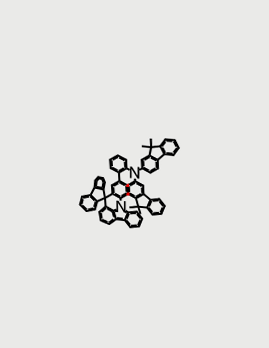 CC1(C)c2ccccc2-c2cc(N(c3ccc4c(c3)C(C)(C)c3ccccc3-4)c3ccccc3-c3ccc4c(c3)C3(c5ccccc5-c5ccccc53)c3cccc5c6ccccc6n-4c35)ccc21